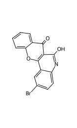 O=c1c2ccccc2oc2c1c(O)nc1ccc(Br)cc12